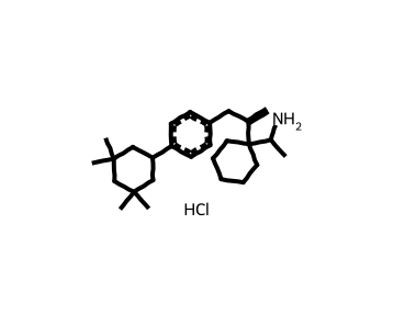 C=C(Cc1ccc(C2CC(C)(C)CC(C)(C)C2)cc1)C1(C(C)N)CCCCC1.Cl